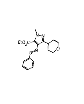 CCOC(=O)c1c(/N=N/c2ccccc2)c(C2CCOCC2)nn1C